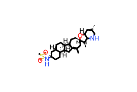 CC1=C2C[C@H]3[C@@H](CC[C@@H]4C[C@H](NS(C)(=O)=O)CC[C@@]43C)[C@@H]2CC[C@@]2(C1)O[C@@H]1C[C@H](C)CNC1[C@H]2C